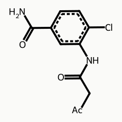 CC(=O)CC(=O)Nc1cc(C(N)=O)ccc1Cl